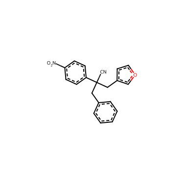 N#CC(Cc1ccccc1)(Cc1ccoc1)c1ccc([N+](=O)[O-])cc1